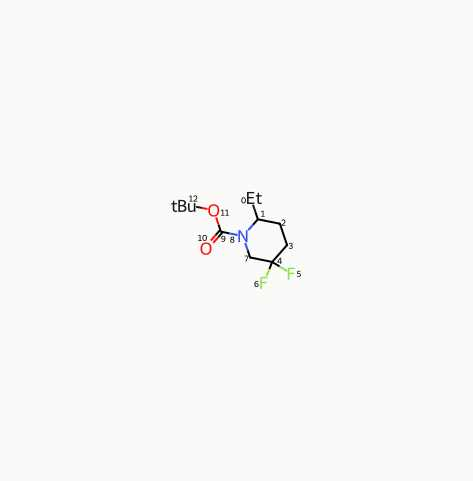 CCC1CCC(F)(F)CN1C(=O)OC(C)(C)C